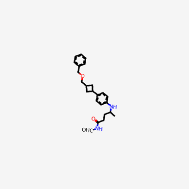 CC(CCC(=O)NC=O)Nc1ccc(C2CC(COCc3ccccc3)C2)cc1